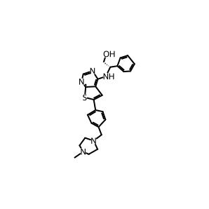 CN1CCN(Cc2ccc(-c3cc4c(N[C@H](CO)c5ccccc5)ncnc4s3)cc2)CC1